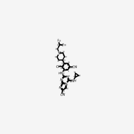 N#Cc1cc(Nc2nc(NC3CC3)n3cc(C#N)nc3n2)c(Cl)c(C2CCN(CC(F)F)CC2)c1